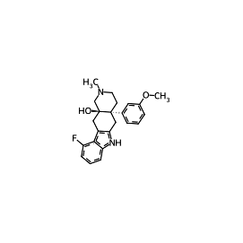 COc1cccc([C@@]23CCN(C)C[C@@]2(O)Cc2c([nH]c4cccc(F)c24)C3)c1